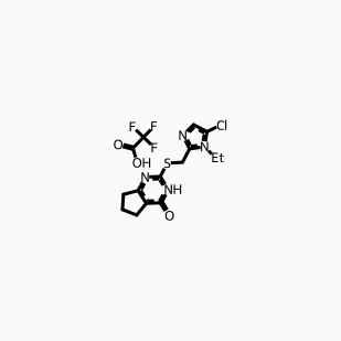 CCn1c(Cl)cnc1CSc1nc2c(c(=O)[nH]1)CCC2.O=C(O)C(F)(F)F